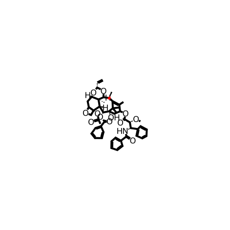 C=C[C@H]1O[C@H]2CC3OC[C@@]3(OC(C)=O)[C@H]3[C@H](OC(=O)c4ccccc4)[C@]4(O)CC(OC(=O)[C@H](OC)[C@@H](NC(=O)c5ccccc5)c5ccccc5)C(C)=C([C@H](C)[C@H](O1)[C@]23C)C4(C)C